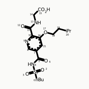 CCCCS(=O)(=O)NC(=O)c1cnc(C(=O)NCC(=O)O)c(OCCC(C)C)c1